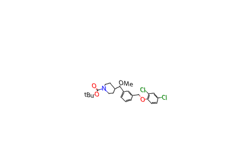 COC(c1cccc(COc2ccc(Cl)cc2Cl)c1)C1CCN(C(=O)OC(C)(C)C)CC1